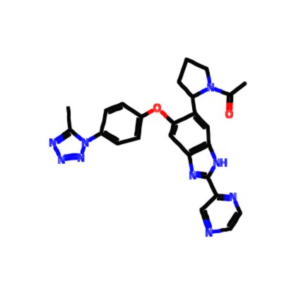 CC(=O)N1CCCC1c1cc2[nH]c(-c3cnccn3)nc2cc1Oc1ccc(-n2nnnc2C)cc1